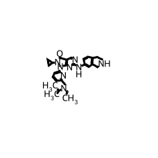 CCN(Cc1cccc(-n2c3nc(Nc4ccc5c(c4)CNCC5)ncc3c(=O)n2C2CC2)n1)C(C)C